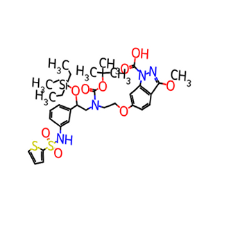 CC[Si](CC)(CC)OC(CN(CCOc1ccc2c(OC)nn(C(=O)O)c2c1)C(=O)OC(C)(C)C)c1cccc(NS(=O)(=O)c2cccs2)c1